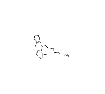 Cc1ccccc1C(CCCCCCP)c1ccccc1C